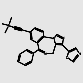 C[Si](C)(C)C#Cc1ccc2c(c1)C(c1ccccc1)=NCc1c(-c3cnco3)ncn1-2